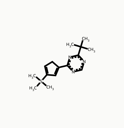 CC(C)(C)c1ncnc(C2=CC(S(C)(C)C)=CC2)n1